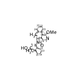 COc1ncc(C(=O)N[C@@H](CC(=O)O)c2ccccc2C)cc1-c1ccccc1C